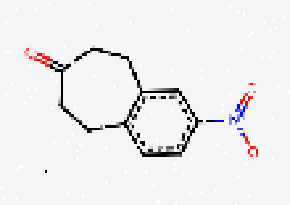 O=C1CCc2ccc([N+](=O)[O-])cc2CC1